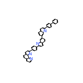 c1ccc(-c2ccc(-c3ccc4ccc(-c5ccc6ccc(-c7ccc(-c8ccc9ccc%10cccnc%10c9n8)cc7)nc6c5)cc4n3)cc2)cc1